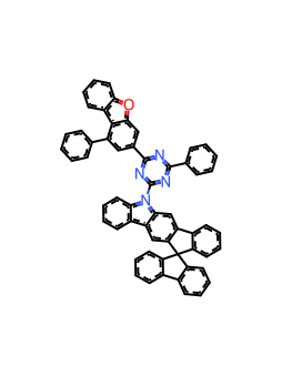 c1ccc(-c2nc(-c3cc(-c4ccccc4)c4c(c3)oc3ccccc34)nc(-n3c4ccccc4c4cc5c(cc43)-c3ccccc3C53c4ccccc4-c4ccccc43)n2)cc1